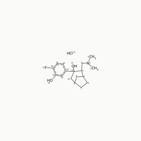 CN(C)CC1C2CCC(C2)CC1(O)c1ccc(F)c(O)c1.Cl